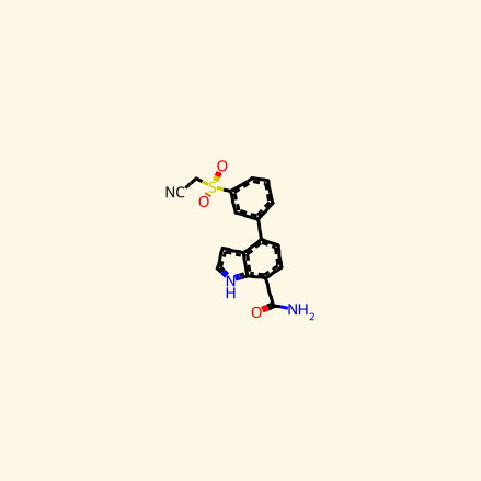 N#CCS(=O)(=O)c1cccc(-c2ccc(C(N)=O)c3[nH]ccc23)c1